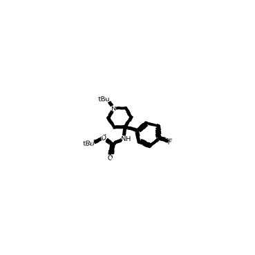 CC(C)(C)OC(=O)NC1(c2ccc(F)cc2)CCN(C(C)(C)C)CC1